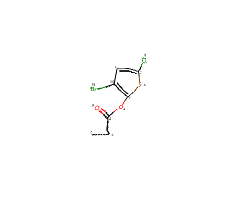 CCC(=O)Oc1sc(Cl)cc1Br